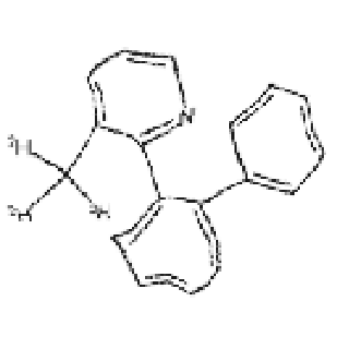 [2H]C([2H])([2H])c1cccnc1-c1ccccc1-c1ccccc1